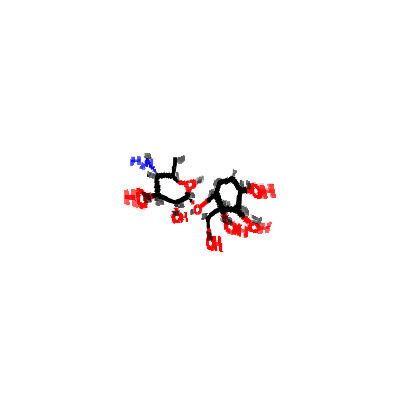 C[C@H]1O[C@H](OC2CCC(O)C(O)C2(O)CO)[C@H](O)[C@@H](O)[C@@H]1N